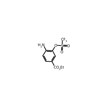 CCOC(=O)c1ccc(N)c(OS(=O)(=O)C(F)(F)F)c1